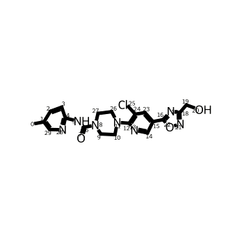 Cc1ccc(NC(=O)N2CCN(c3ncc(-c4nc(CO)no4)cc3Cl)CC2)nc1